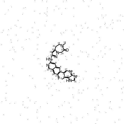 Cc1c(-c2cc3cc(Nc4cc5n(n4)CC(=O)N(C)CC5)ncc3cc2F)cnc2nc[nH]c12